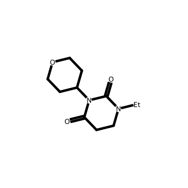 CCN1CCC(=O)N(C2CCOCC2)C1=O